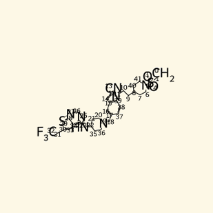 C=CS(=O)(=O)N1CCC(CCn2c(C#N)cc3cc(CN4CCC(Nc5ncnc6sc(CC(F)(F)F)cc56)CC4)ccc32)CC1